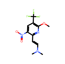 COc1nc(/C=C/N(C)C)c([N+](=O)[O-])cc1C(F)(F)F